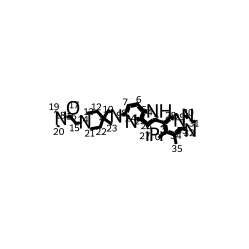 Cc1c(-c2[nH]c3ccc(N4CC5(CCN(CC(=O)N(C)C)CC5)C4)nc3c2C(C)C)cn2ncnc2c1C